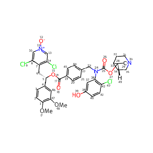 COc1ccc([C@H](Cc2c(Cl)c[n+]([O-])cc2Cl)OC(=O)c2ccc(CN(C(=O)O[C@H]3CN4CCC3CC4)c3cc(O)ccc3Cl)cc2)cc1OC